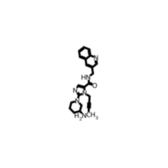 CC#CCn1c(C(=O)NCc2cnc3ccccc3c2)cnc1N1CCCC(N)C1